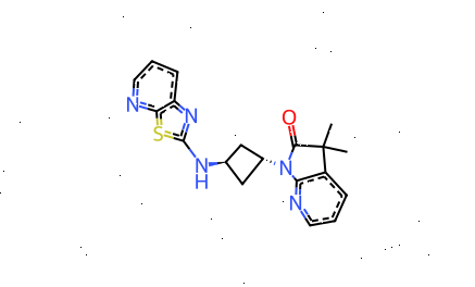 CC1(C)C(=O)N([C@H]2C[C@H](Nc3nc4cccnc4s3)C2)c2ncccc21